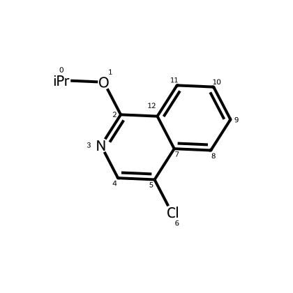 CC(C)Oc1ncc(Cl)c2ccccc12